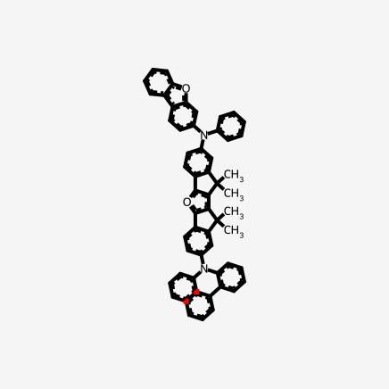 CC1(C)c2cc(N(c3ccccc3)c3ccc4c(c3)oc3ccccc34)ccc2-c2oc3c(c21)C(C)(C)c1cc(N(c2ccccc2)c2ccccc2-c2ccccc2)ccc1-3